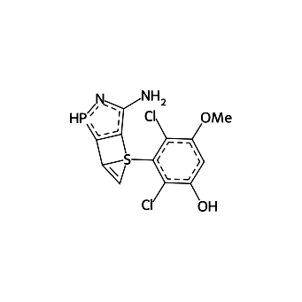 COc1cc(O)c(Cl)c(S23C=C2c2[pH]nc(N)c23)c1Cl